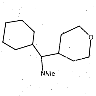 CNC(C1CCCCC1)C1CCOCC1